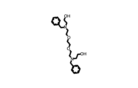 OCCN(CCOCCOCCN(CCO)Cc1ccccc1)Cc1ccccc1